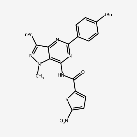 CCCc1nn(C)c2c(NC(=O)c3ccc([N+](=O)[O-])s3)nc(-c3ccc(C(C)(C)C)cc3)nc12